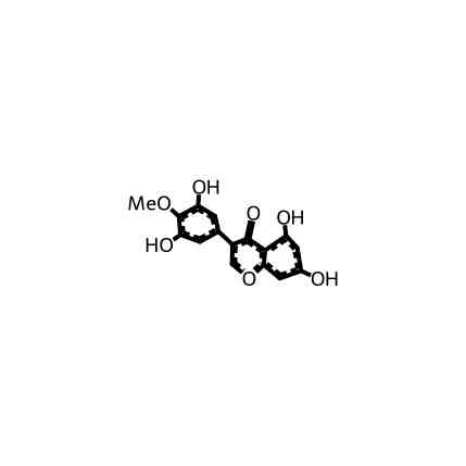 COc1c(O)cc(-c2coc3cc(O)cc(O)c3c2=O)cc1O